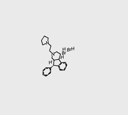 Br.Br.c1ccc([C@@H]2c3ccccc3[C@@H]3CCN(CCN4CCCC4)C[C@H]23)cc1